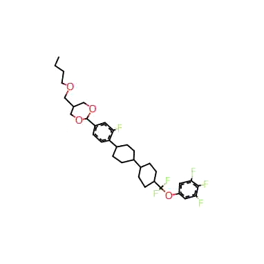 CCCCOCC1COC(c2ccc(C3CCC(C4CCC(C(F)(F)Oc5cc(F)c(F)c(F)c5)CC4)CC3)c(F)c2)OC1